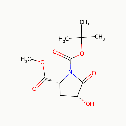 COC(=O)[C@H]1C[C@@H](O)C(=O)N1C(=O)OC(C)(C)C